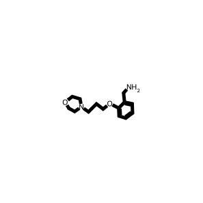 NCc1ccccc1OCCCN1CCOCC1